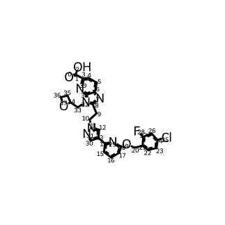 O=C(O)c1ccc2nc(CCn3cc(-c4cccc(OCc5ccc(Cl)cc5F)n4)cn3)n(CC3CCO3)c2n1